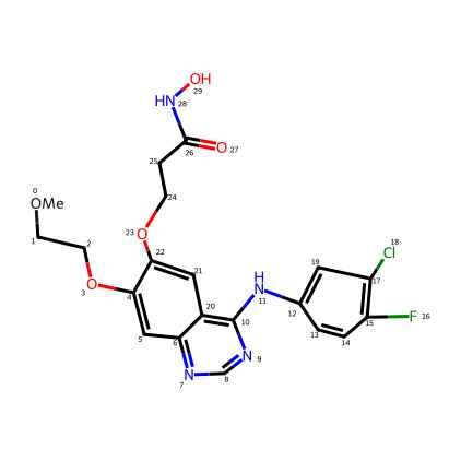 COCCOc1cc2ncnc(Nc3ccc(F)c(Cl)c3)c2cc1OCCC(=O)NO